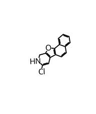 ClC1=Cc2c(oc3c2ccc2ccccc23)CN1